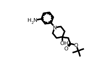 CC(C)(C)OC(=O)CC1(O)CCN(c2cccc(N)c2)CC1